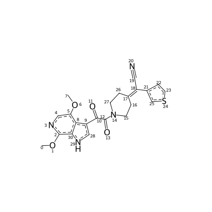 COc1ncc(OC)c2c(C(=O)C(=O)N3CCC(=C(C#N)c4ccsc4)CC3)c[nH]c12